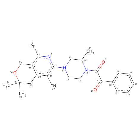 CC(C)c1nc(N2CCN(C(=O)C(=O)c3ccccc3)C(C)C2)c(C#N)c2c1COC(C)(C)C2